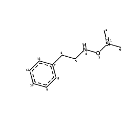 C[SiH](C)ONCCc1ccccc1